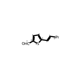 CC(C)/C=C/c1ccc(C=O)s1